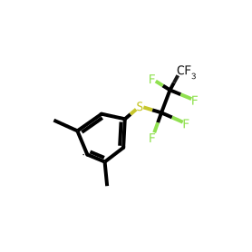 Cc1[c]c(C)cc(SC(F)(F)C(F)(F)C(F)(F)F)c1